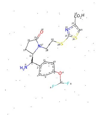 NC(c1ccc(OC(F)F)cc1)[C@H]1CCC(=O)N1CCSc1nc(C(=O)O)cs1